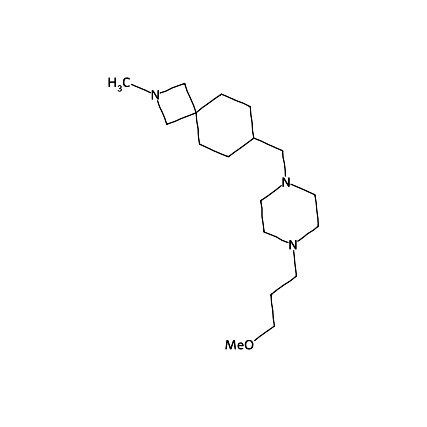 COCCCN1CCN(CC2CCC3(CC2)CN(C)C3)CC1